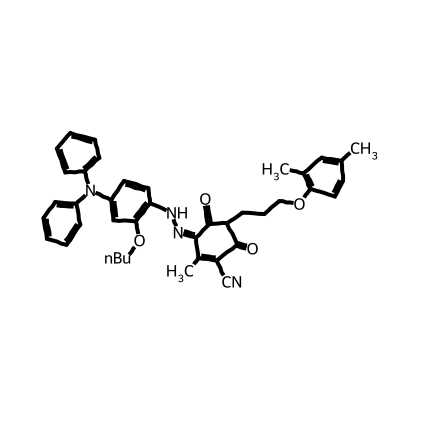 CCCCOc1cc(N(c2ccccc2)c2ccccc2)ccc1N/N=C1\C(=O)C(CCCOc2ccc(C)cc2C)C(=O)C(C#N)=C1C